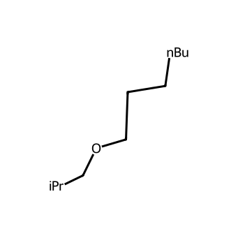 CCCCCCCOCC(C)C